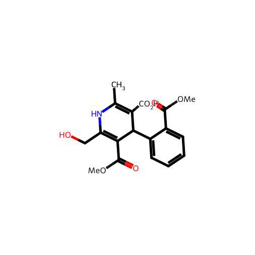 COC(=O)C1=C(CO)NC(C)=C(C(=O)O)C1c1ccccc1C(=O)OC